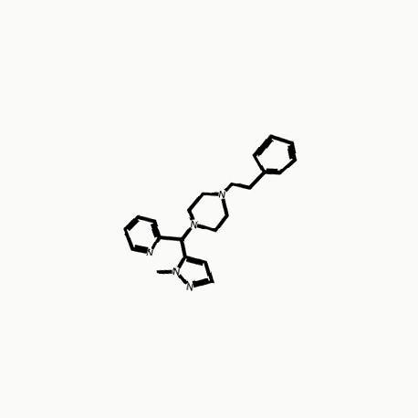 Cn1nccc1C(c1ccccn1)N1CCN(CCc2ccccc2)CC1